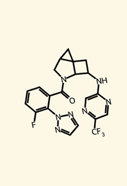 O=C(c1cccc(F)c1-n1nccn1)N1CC2CC23CC(Nc2cnc(C(F)(F)F)cn2)C13